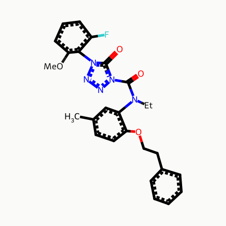 CCN(C(=O)n1nnn(-c2c(F)cccc2OC)c1=O)c1cc(C)ccc1OCCc1ccccc1